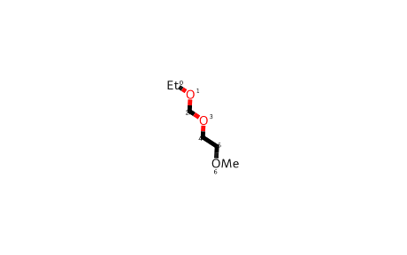 CCO[CH]OCCOC